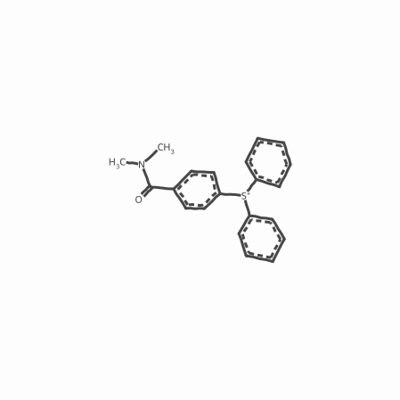 CN(C)C(=O)c1ccc([S+](c2ccccc2)c2ccccc2)cc1